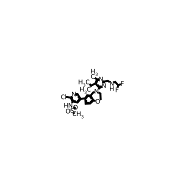 Cc1nc(CNCC(F)F)nc(N2CCOc3ccc(-c4cnc(Cl)c(NS(C)(=O)=O)c4)cc3C2)c1C(C)C